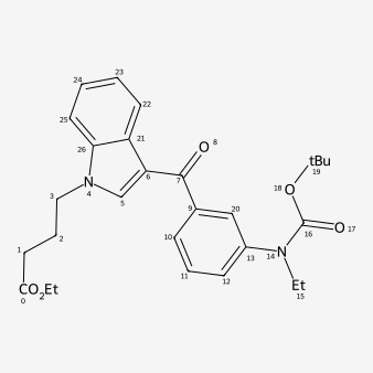 CCOC(=O)CCCn1cc(C(=O)c2cccc(N(CC)C(=O)OC(C)(C)C)c2)c2ccccc21